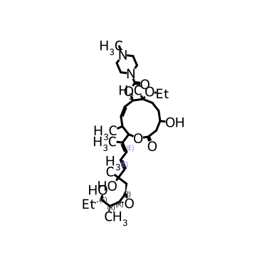 CCOC1(C)CCC(O)CC(=O)OC(/C(C)=C/C=C/C(C)(O)C[C@H]2O[C@@H]2[C@H](C)[C@@H](O)CC)C(C)C=CC1OC(=O)N1CCN(C)CC1